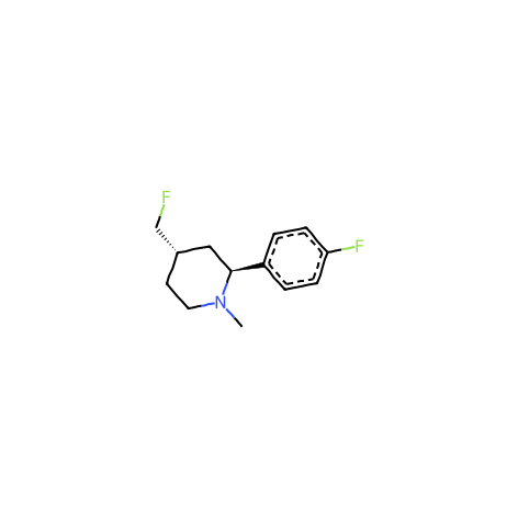 CN1CC[C@H](CF)C[C@H]1c1ccc(F)cc1